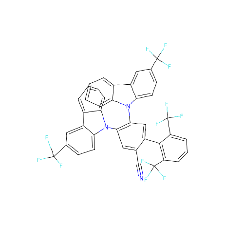 N#Cc1cc(-n2c3ccccc3c3cc(C(F)(F)F)ccc32)c(-n2c3ccccc3c3cc(C(F)(F)F)ccc32)cc1-c1c(C(F)(F)F)cccc1C(F)(F)F